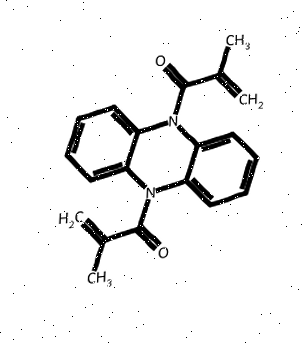 C=C(C)C(=O)N1c2ccccc2N(C(=O)C(=C)C)c2ccccc21